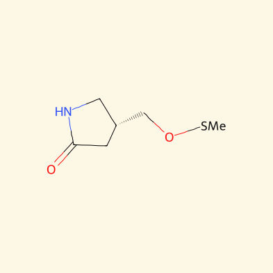 CSOC[C@H]1CNC(=O)C1